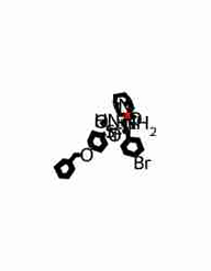 NC1CC2CCC(C1)N2C(=O)[C@H](NS(=O)(=O)c1ccc(OCc2ccccc2)cc1)C(F)(F)c1ccc(Br)cc1